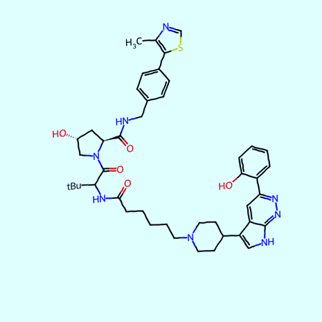 Cc1ncsc1-c1ccc(CNC(=O)[C@@H]2C[C@@H](O)CN2C(=O)C(NC(=O)CCCCCN2CCC(c3c[nH]c4nnc(-c5ccccc5O)cc34)CC2)C(C)(C)C)cc1